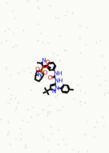 Cc1ccc(-n2nc(C(C)(C)C)cc2NC(=O)Nc2cccc(CC3CC4CCC(C3)N4S(=O)(=O)c3c(C)noc3C)c2)cc1